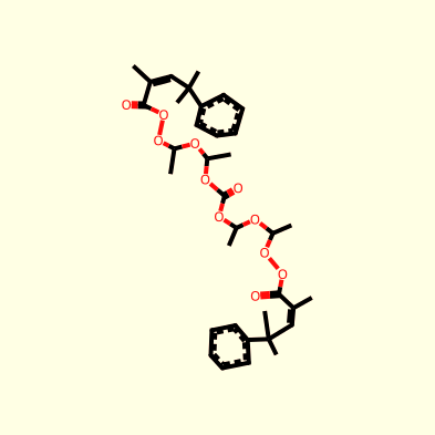 C/C(=C/C(C)(C)c1ccccc1)C(=O)OOC(C)OC(C)OC(=O)OC(C)OC(C)OOC(=O)/C(C)=C\C(C)(C)c1ccccc1